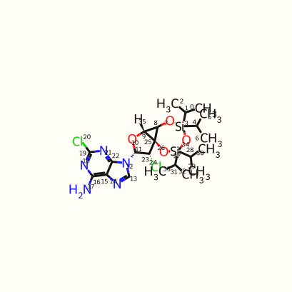 CC(C)[Si]1(C(C)C)OC2[C@H]3O[C@@H](n4cnc5c(N)nc(Cl)nc54)[C@@H](Cl)[C@@]23O[Si](C(C)C)(C(C)C)O1